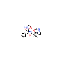 CO[C@@H]([C@@H]1CCCN1)[C@@H](C)C(=O)N[C@@](C=O)(Cc1ccccc1)C1NCCO1